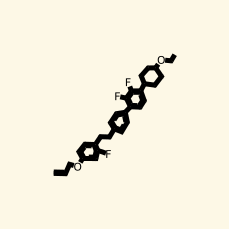 C=CCOc1ccc(CCc2ccc(-c3ccc(C4CCC(OCC)CC4)c(F)c3F)cc2)c(F)c1